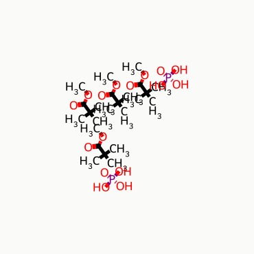 COC(=O)C(C)(C)C.COC(=O)C(C)(C)C.COC(=O)C(C)(C)C.COC(=O)C(C)(C)C.O=P(O)(O)O.O=P(O)(O)O